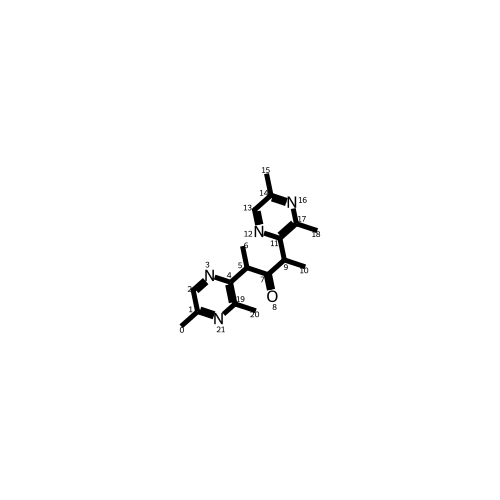 Cc1cnc(C(C)C(=O)C(C)c2ncc(C)nc2C)c(C)n1